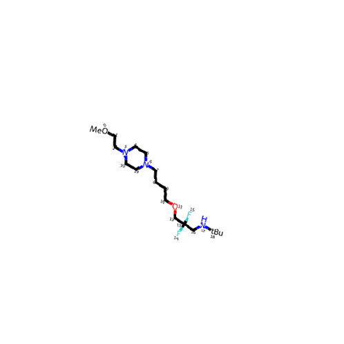 COCCN1CCN(CCCCOCC(F)(F)CNC(C)(C)C)CC1